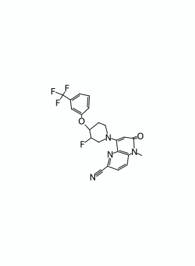 Cn1c(=O)cc(N2CCC(Oc3cccc(C(F)(F)F)c3)C(F)C2)c2nc(C#N)ccc21